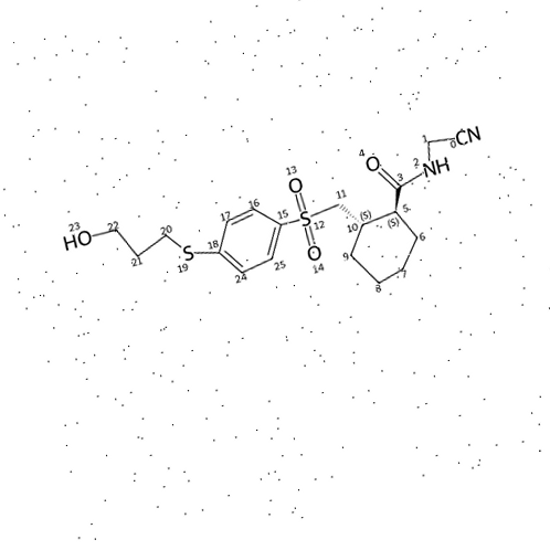 N#CCNC(=O)[C@H]1CCCC[C@@H]1CS(=O)(=O)c1ccc(SCCCO)cc1